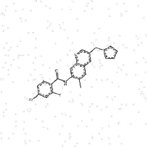 Cc1cc2cc(Cn3cccc3)cnc2cc1NC(=O)c1ccc(Br)cc1F